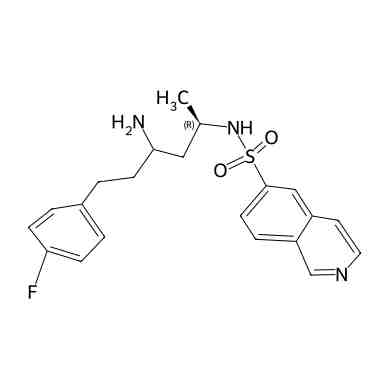 C[C@H](CC(N)CCc1ccc(F)cc1)NS(=O)(=O)c1ccc2cnccc2c1